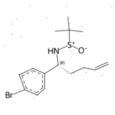 C=CCC[C@@H](N[S+]([O-])C(C)(C)C)c1ccc(Br)cc1